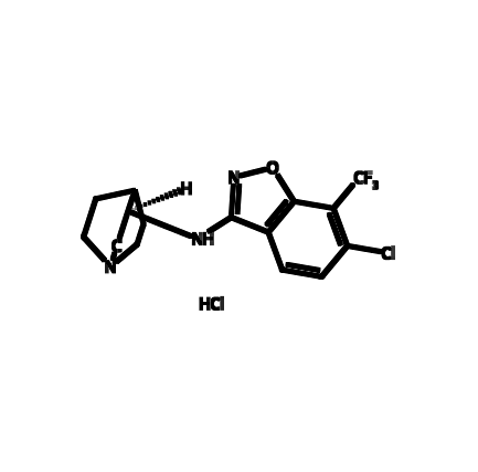 Cl.FC(F)(F)c1c(Cl)ccc2c(N[C@H]3CN4CCC3CC4)noc12